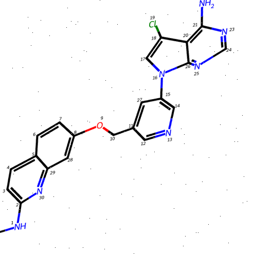 CCNc1ccc2ccc(OCc3cncc(-n4cc(Cl)c5c(N)ncnc54)c3)cc2n1